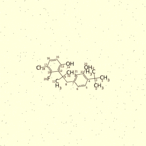 CC(C)(C)c1ccc(CC(C)(C)c2c(O)ccc(Cl)c2F)cc1O